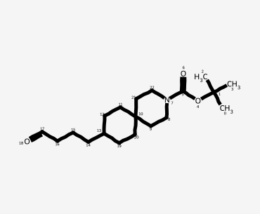 CC(C)(C)OC(=O)N1CCC2(CCC(CCCC=O)CC2)CC1